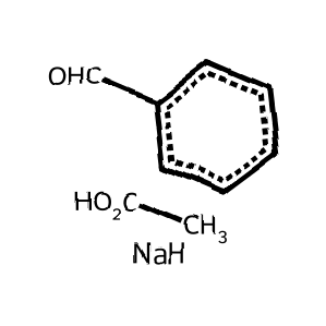 CC(=O)O.O=Cc1ccccc1.[NaH]